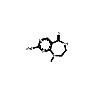 CSc1ncc2c(n1)N(C)CCNC2=O